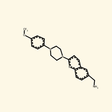 NCc1ccc2nc(N3CCN(c4ccc(OC(F)(F)F)cc4)CC3)ccc2c1